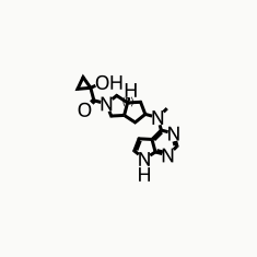 CN(c1ncnc2[nH]ccc12)C1CC2CN(C(=O)C3(O)CC3)C[C@@H]2C1